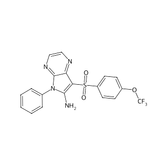 Nc1c(S(=O)(=O)c2ccc(OC(F)(F)F)cc2)c2nccnc2n1-c1ccccc1